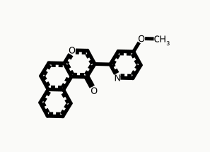 COc1ccnc(-c2coc3ccc4ccccc4c3c2=O)c1